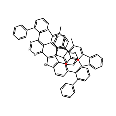 Cc1cc2c(c(-c3c(-c4ccccc4-c4ccccc4)nnnc3-c3[se]c4ccc(-c5ccccc5-c5ccccc5)c(-c5c(C)c(C)cc6c5Cc5ccccc5-6)c4c3-c3ccccc3)c1C)Cc1ccccc1-2